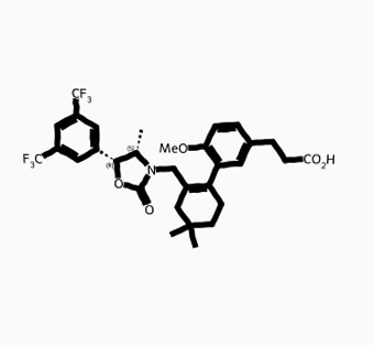 COc1ccc(CCC(=O)O)cc1C1=C(CN2C(=O)O[C@H](c3cc(C(F)(F)F)cc(C(F)(F)F)c3)[C@@H]2C)CC(C)(C)CC1